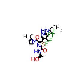 CC[C@H](Nc1cc(C(F)F)c(-c2sc(C(=O)N[C@H]3C[C@H]3O)nc2C(=O)N2CCC[C@@H]2C)cn1)C(F)(F)F